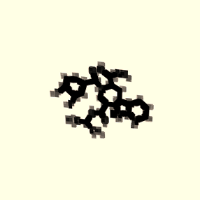 CC(C)OC(=O)C1=CN(C(=O)c2ccc(F)c(F)c2)C(C(N)=O)Cc2c1[nH]c1ncccc21